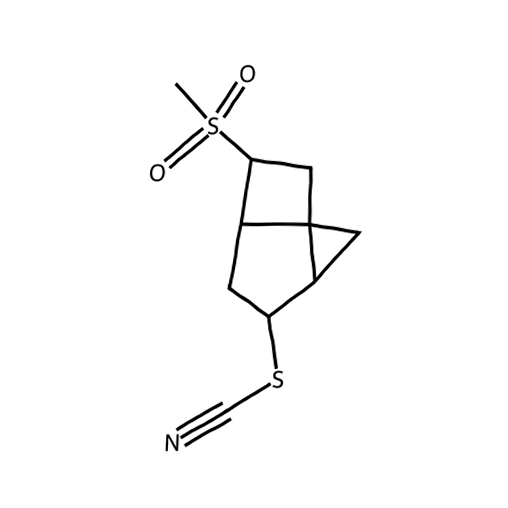 CS(=O)(=O)C1CC23CC2C(SC#N)CC13